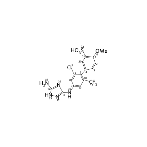 COc1ccc(-c2c(Cl)cc(Nc3n[nH]c(N)n3)cc2C(F)(F)F)cc1S(=O)(=O)O